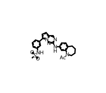 CC(=O)N1CCCCc2ccc(Nc3ncc4ccc(-c5cccc(NS(C)(=O)=O)c5)n4n3)cc21